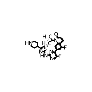 CC(C)n1c(=O)ccc2c(F)cc(-c3nc(Nc4nc(C5CCNCC5)cs4)ncc3F)cc21